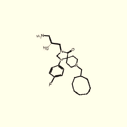 NC[C@@H](O)CN1CN(c2ccc(F)cc2)C2(CCN(CC3CCCCCCC3)CC2)C1=O